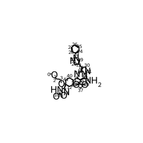 COCCO[C@]1(c2noc(=O)[nH]2)CC[C@H](c2nc3c(-c4cnn(-c5ccccc5)c4)cnn3c(N)c2S(C)(=O)=O)CC1